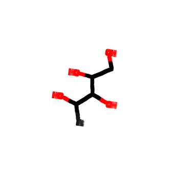 [CH2]CC(O)C(O)C(O)CO